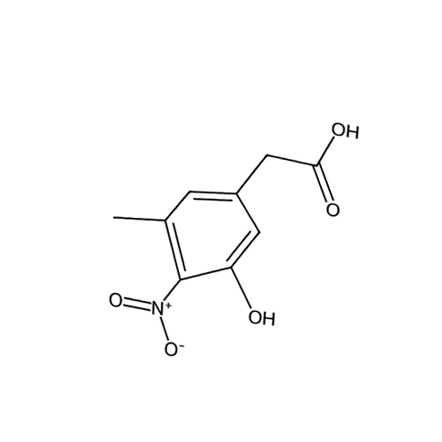 Cc1cc(CC(=O)O)cc(O)c1[N+](=O)[O-]